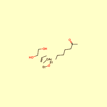 C=CC.CCCCCC(C)=O.CCOCC.COC(C)=O.OCCO